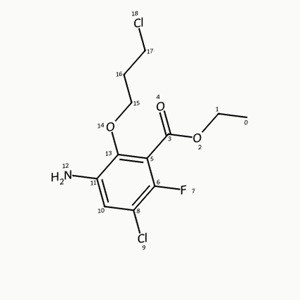 CCOC(=O)c1c(F)c(Cl)cc(N)c1OCCCCl